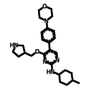 CC1CCC(Nc2ncc(-c3ccc(N4CCOCC4)cc3)c(OCC3CCNC3)n2)CC1